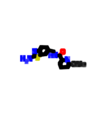 COc1cccc(C(=O)NCc2ccc3nc(N)sc3c2)n1